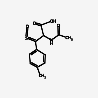 CC(=O)NC(C(=O)O)C(=S=O)c1ccc(C)cc1